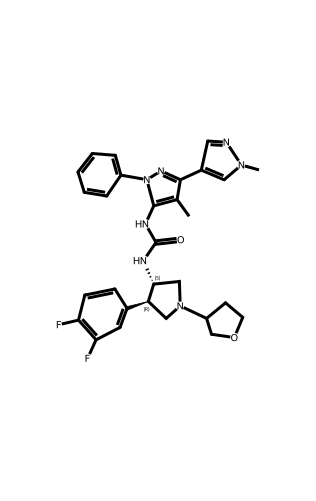 Cc1c(-c2cnn(C)c2)nn(-c2ccccc2)c1NC(=O)N[C@@H]1CN(C2CCOC2)C[C@H]1c1ccc(F)c(F)c1